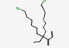 C=CC(=C)C(CC)(CCCCCCBr)CCCCCCBr